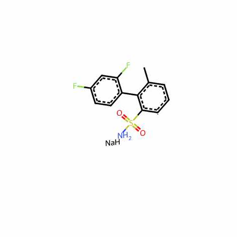 Cc1cc[c]c(S(N)(=O)=O)c1-c1ccc(F)cc1F.[NaH]